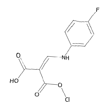 O=C(O)C(=CNc1ccc(F)cc1)C(=O)OCl